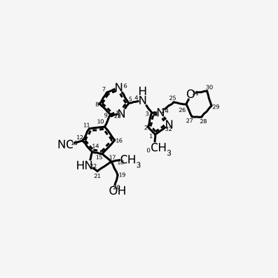 Cc1cc(Nc2nccc(-c3cc(C#N)c4c(c3)C(C)(CO)CN4)n2)n(CC2CCCCO2)n1